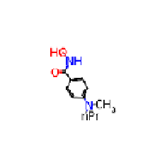 CCCN(C)c1ccc(C(=O)NO)cc1